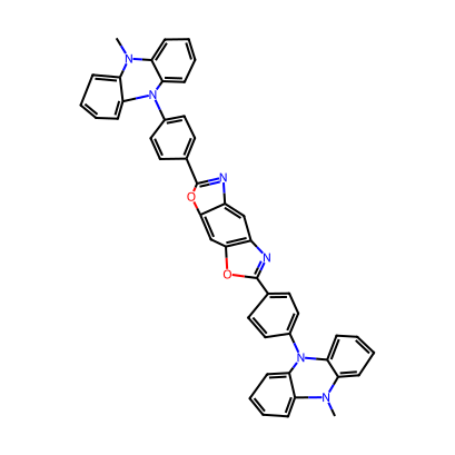 CN1c2ccccc2N(c2ccc(-c3nc4cc5nc(-c6ccc(N7c8ccccc8N(C)c8ccccc87)cc6)oc5cc4o3)cc2)c2ccccc21